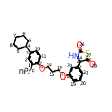 CCCc1cc(C2CCCCC2)ccc1OCCCOc1cccc(C2NC(=O)SC2=O)c1